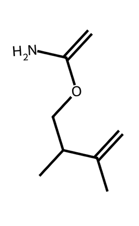 C=C(N)OCC(C)C(=C)C